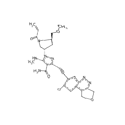 C=CC(=O)N1C[C@@H](n2nc(C#Cc3cc4nnc5c(c4cc3Cl)CCOC5)c(C(N)=O)c2NC)C[C@@H]1COC